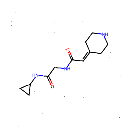 O=C(C=C1CCNCC1)NCC(=O)NC1CC1